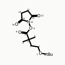 CC(C)(C)OCCC(C)(C)C(=O)ON1C(=O)CCC1=O